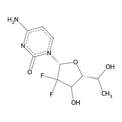 CC(O)[C@H]1O[C@@H](n2ccc(N)nc2=O)C(F)(F)C1O